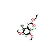 CCOC(=O)Cc1c(F)c(OC)cc(OC)c1F